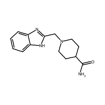 NC(=O)C1CCN(Cc2nc3ccccc3[nH]2)CC1